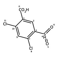 O=C(O)c1cc([SH](=O)=O)c(Cl)cc1Cl